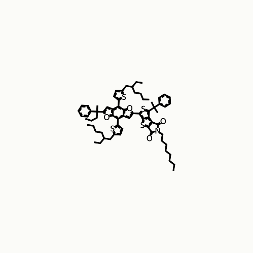 CCCCCCCCN1C(=O)c2sc3c(-c4cc5c(-c6ccc(CC(CC)CCCC)s6)c6oc(C(C)(CCC)c7ccccc7)cc6c(-c6ccc(CC(CC)CCCC)s6)c5o4)sc(C(C)(C)c4ccccc4)c3c2C1=O